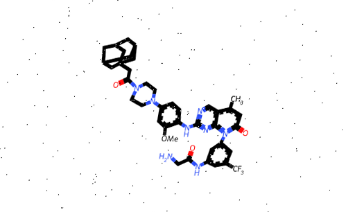 COc1cc(N2CCN(C(=O)CC34CC5CC(CC(C5)C3)C4)CC2)ccc1Nc1ncc2c(C)cc(=O)n(-c3cc(NC(=O)CN)cc(C(F)(F)F)c3)c2n1